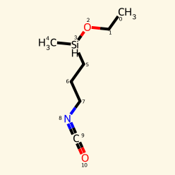 CCO[SiH](C)CCCN=C=O